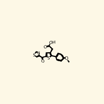 COc1ccc(-c2sc(C(=O)c3cscn3)cc2CC(=O)O)cc1